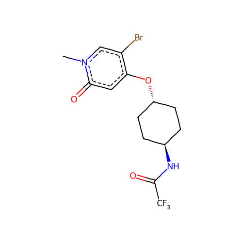 Cn1cc(Br)c(O[C@H]2CC[C@H](NC(=O)C(F)(F)F)CC2)cc1=O